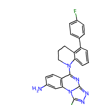 Nc1ccc2c(N3CCCc4c(-c5ccc(F)cc5)cccc43)nc3nnc(F)n3c2c1